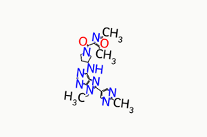 CCn1c(-c2cnc(C)nc2)nc2c(NC3CCN(C(=O)c4nc(C)oc4C)C3)ncnc21